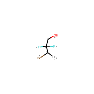 OCC(F)(F)C(Br)C(F)(F)F